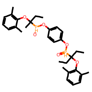 CCC(C)(Oc1c(C)cccc1C)[PH](=O)Oc1ccc(O[PH](=O)C(CC)(CC)Oc2c(C)cccc2C)cc1